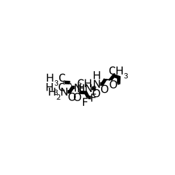 CC(C)C[C@@H](C(N)=O)N(C)C(=O)[C@H](NC(=O)NC(=O)C[C@@H]1OCC[C@H]1C)C(F)F